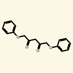 O=C(COc1ccccc1)CC(=O)COc1ccccc1